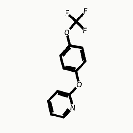 FC(F)(F)Oc1ccc(Oc2ccccn2)cc1